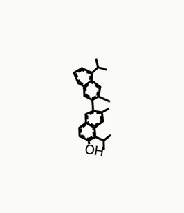 Cc1cc2c(C(C)C)cccc2cc1-c1cc2ccc(O)c(C(C)C)c2cc1C